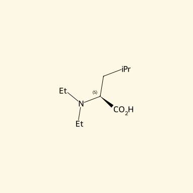 CCN(CC)[C@@H](CC(C)C)C(=O)O